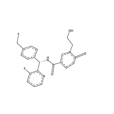 O=C(N[C@@H](c1ccc(CF)cc1)c1ncccc1F)c1ccc(=O)n(CCO)c1